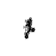 C#C[C@@]1(O)[C@H](O)C(COP(=O)(NCCOC(=O)c2ccccc2)Oc2ccccc2)O[C@H]1n1ccc(=O)[nH]c1=O